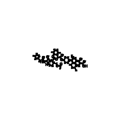 CC(=O)OCC1=C(C(=O)OC(C(=O)OC2CCN(c3c(F)cc4c(=O)c(C(=O)O)cn5c4c3CCC5C)CC2)c2ccccc2)N2C(=O)[C@H](NC(=O)Cc3cccs3)[C@H]2SC1